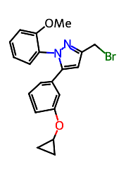 COc1ccccc1-n1nc(CBr)cc1-c1cccc(OC2CC2)c1